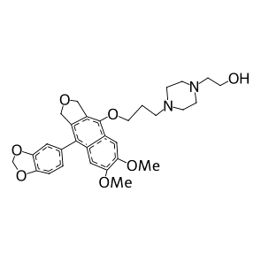 COc1cc2c(OCCCN3CCN(CCO)CC3)c3c(c(-c4ccc5c(c4)OCO5)c2cc1OC)COC3